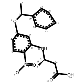 CC(Oc1ccc([N+](=O)[O-])c(N[C@H](C)CC(=O)O)c1)c1ccccc1